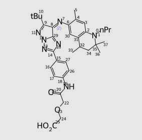 CCCN1c2cc(C)c(/N=C3/C(C(C)(C)C)=Nn4nc(-c5ccc(NC(=O)COCC(=O)O)cc5)nc43)cc2C(C)CC1(C)C